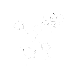 O=S(=O)(N[C@H]1CC2=C(c3ccn(C(F)F)n3)[C@H](c3ccc(F)cc3Cl)N=C(c3nccs3)N2C1)[C@H]1C2CC[C@H]1C[C@@](O)(CO)C2